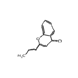 [CH2]CCc1cc(=O)c2ccccc2o1